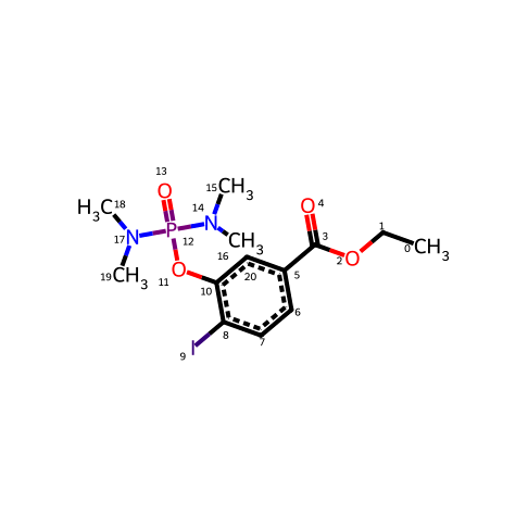 CCOC(=O)c1ccc(I)c(OP(=O)(N(C)C)N(C)C)c1